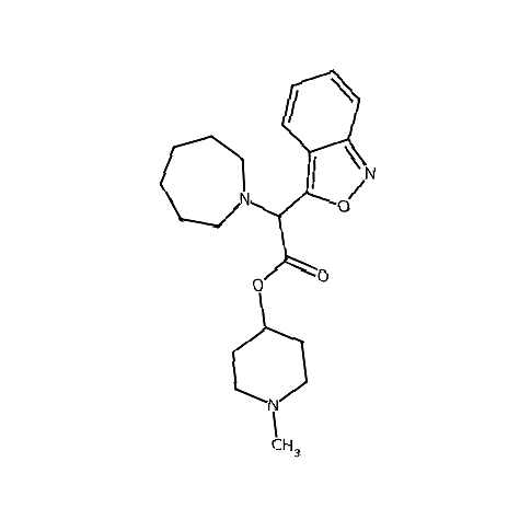 CN1CCC(OC(=O)C(c2onc3ccccc23)N2CCCCCC2)CC1